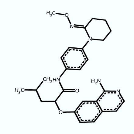 CON=C1CCCCN1c1ccc(NC(=O)C(CC(C)C)Oc2ccc3ccnc(N)c3c2)cc1